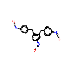 O=C=Nc1ccc(Cc2ccc(N=C=O)cc2Cc2ccc(N=C=O)cc2)cc1